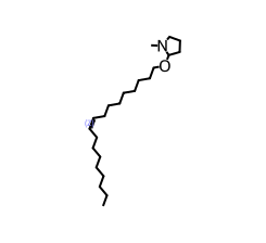 CCCCCCCC/C=C\CCCCCCCCOC1CCCN1C